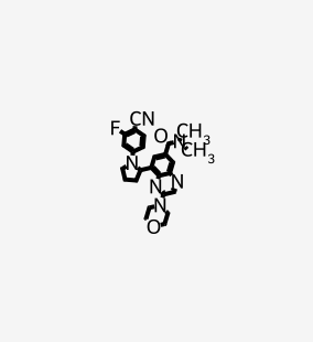 CN(C)C(=O)c1cc(C2CCCN2c2ccc(C#N)c(F)c2)c2nc(N3CCOCC3)cnc2c1